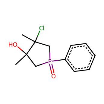 CC1(O)CP(=O)(c2ccccc2)CC1(C)Cl